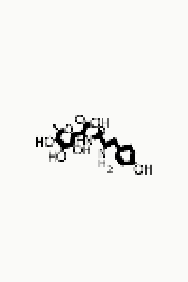 C[C@H]1O[C@@H]([C@H](NC(=O)[C@@H](N)Cc2ccc(O)cc2)C(=O)O)[C@H](O)[C@@H](O)[C@H]1O